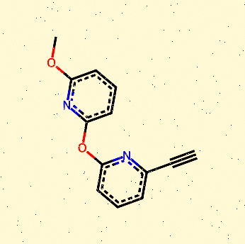 C#Cc1cccc(Oc2cccc(OC)n2)n1